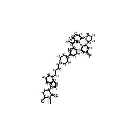 O=C1CCC(n2cnc3c(CCCCN4CCN(c5cccc(-c6cnc7ccc(N8CCC[C@@H]8c8cccc(F)c8)nn67)n5)CC4)cccc32)C(=O)N1